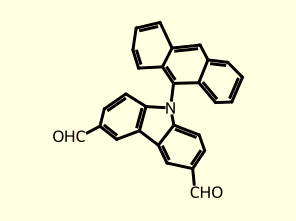 O=Cc1ccc2c(c1)c1cc(C=O)ccc1n2-c1c2ccccc2cc2ccccc12